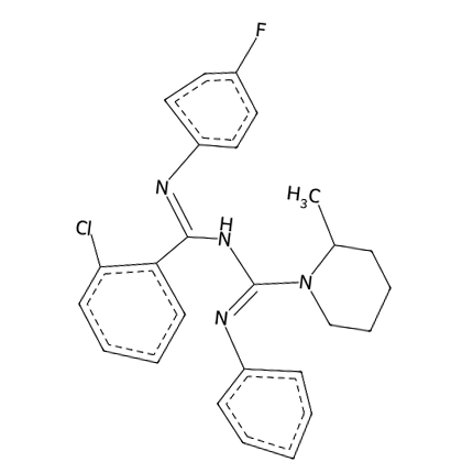 CC1CCCCN1/C(=N\c1ccccc1)N/C(=N\c1ccc(F)cc1)c1ccccc1Cl